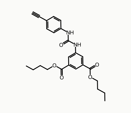 C#Cc1ccc(NC(=O)Nc2cc(C(=O)OCCCC)cc(C(=O)OCCCC)c2)cc1